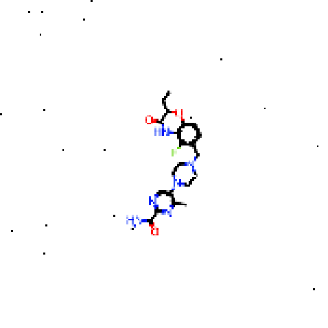 CCC1Oc2ccc(CN3CCN(c4cnc(C(=O)NC)nc4C)CC3)c(F)c2NC1=O